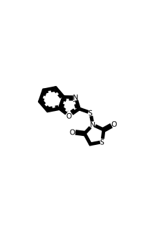 O=C1CSC(=O)N1Sc1nc2ccccc2o1